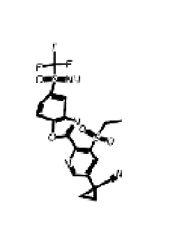 CCS(=O)(=O)c1cc(C2(C#N)CC2)cnc1-c1nc2cc(S(=N)(=O)C(F)(F)F)ccc2o1